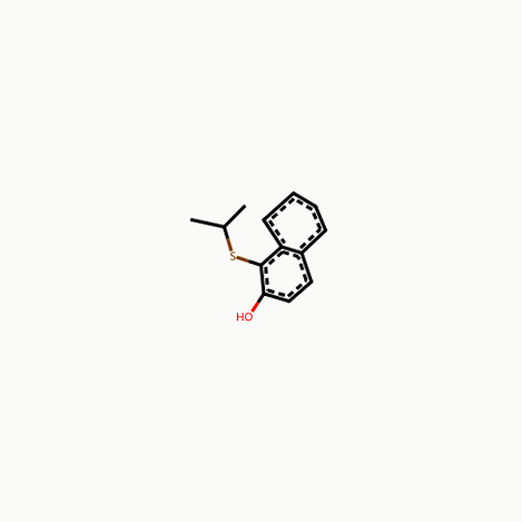 CC(C)Sc1c(O)ccc2ccccc12